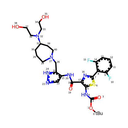 CC(C)(C)OC(=O)Nc1sc(-c2c(F)cccc2F)nc1C(=O)Nc1cn[nH]c1CN1CCC[C@@H](N(CCO)CCO)CC1